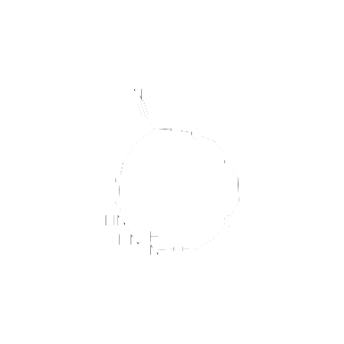 N#CC1CCCCCCCCCONNNCCCC1